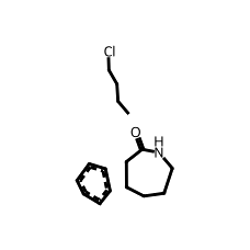 CCCCCl.O=C1CCCCCN1.c1ccccc1